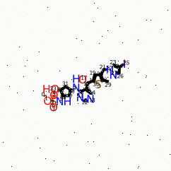 COS(=O)(=O)N[C@@H]1C[C@@H](Nc2ncncc2C(=O)c2cc(Cn3cc(I)cn3)c(C)s2)C[C@@H]1O